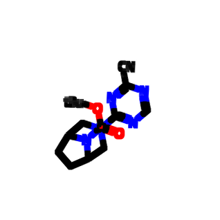 CC(C)(C)OC(=O)N1C2CCC1CN(c1ncnc(C#N)n1)C2